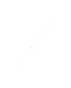 Cn1c(-c2ccc3ccccc3c2)cc2cc3ccc4c5cc6c(cc(-c7ccc8ccccc8c7)n6C)cc5ccc4c3cc21